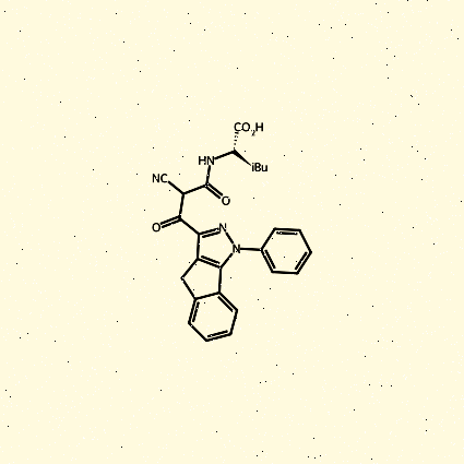 CC[C@H](C)[C@H](NC(=O)C(C#N)C(=O)c1nn(-c2ccccc2)c2c1Cc1ccccc1-2)C(=O)O